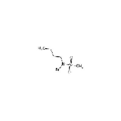 CCCCN(Br)S(C)(=O)=O